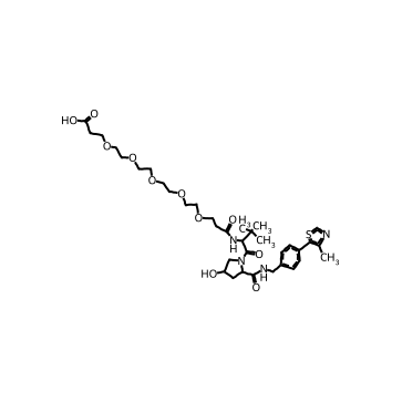 Cc1ncsc1-c1ccc(CNC(=O)C2CC(O)CN2C(=O)C(NC(=O)CCOCCOCCOCCOCCOCCC(=O)O)C(C)(C)C)cc1